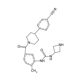 Cc1ccc(C(=O)N2CCC(c3ccc(C#N)cc3)CC2)cc1NC(=O)NC1CNC1